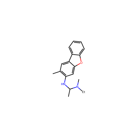 CCN(C)C(C)Nc1cc2oc3ccccc3c2cc1C